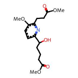 COC(=O)CCCC(O)c1ccc(OC)c(CCC(=O)OC)n1